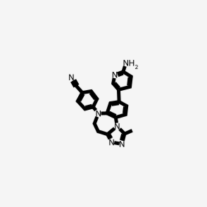 Cc1nnc2n1-c1ccc(-c3ccc(N)nc3)cc1N(c1ccc(C#N)cc1)CC2